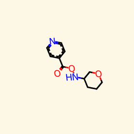 O=C(ONC1CCCOC1)c1ccncc1